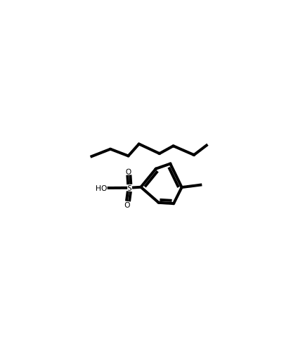 CCCCCCCC.Cc1ccc(S(=O)(=O)O)cc1